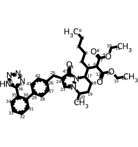 CCCCCC(C(C(=O)OCC)C(=O)OCC)C1CCC(C)n2cc(Cc3ccc(-c4ccccc4-c4nnn[nH]4)cc3)c(=O)n21